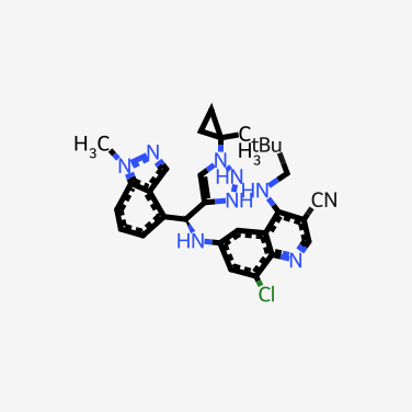 Cn1ncc2c([C@H](Nc3cc(Cl)c4ncc(C#N)c(NCC(C)(C)C)c4c3)C3=CN(C4(C)CC4)NN3)cccc21